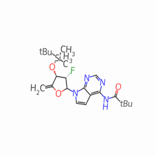 C=C1OC(n2ccc3c(NC(=O)C(C)(C)C)ncnc32)[C@@H](F)[C@@H]1O[Si](C)(C)C(C)(C)C